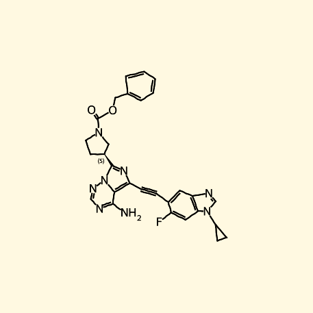 Nc1ncnn2c([C@H]3CCN(C(=O)OCc4ccccc4)C3)nc(C#Cc3cc4ncn(C5CC5)c4cc3F)c12